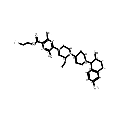 CC[C@H]1CN(c2nc(N)c(C(=O)NCCO)nc2Cl)CCN1C1CCN(C2c3ccc(N)cc3CCC2O)CC1